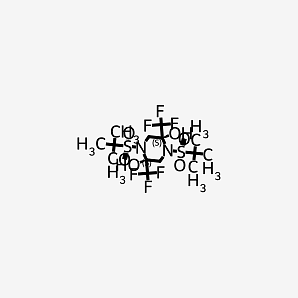 CC(C)(C)S(=O)(=O)N1C[C@](O)(C(F)(F)F)N(S(=O)(=O)C(C)(C)C)C[C@]1(O)C(F)(F)F